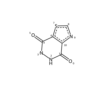 O=C1N[N]C(=O)c2scnc21